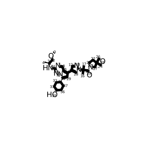 COC[C@H](C)Nc1ncc2c(-c3cnn(C(C)(C)C(=O)N4CCC5(COC5)C4)c3)cc([C@H]3CC[C@H](O)CC3)n2n1